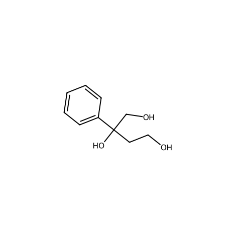 OCCC(O)(CO)c1ccccc1